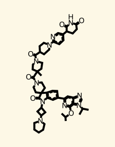 CC(C)Oc1nc(-c2ccc3c(c2)N(C2CC(N4CCCCC4)C2)C(=O)C32CCN(C(=O)C3(C)CCN(C(=O)C4CCN(c5ccc(C6CCC(=O)NC6=O)cn5)CC4)CC3)CC2)cc2ncn(C(C)C)c12